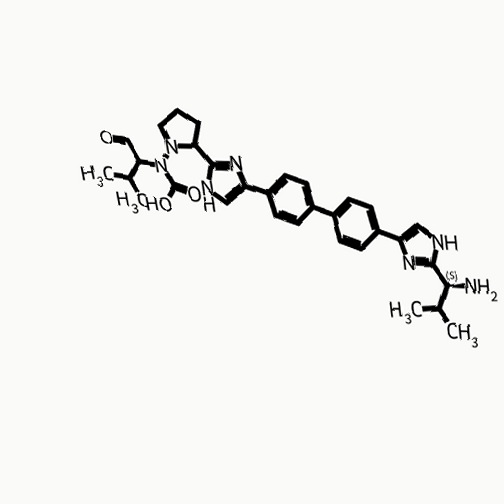 CC(C)C(C=O)N(C(=O)O)N1CCCC1c1nc(-c2ccc(-c3ccc(-c4c[nH]c([C@@H](N)C(C)C)n4)cc3)cc2)c[nH]1